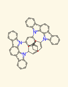 C1=CCC(n2c3ccccc3c3ccc4c5ccccc5n(-c5cccc(-n6c7ccccc7c7ccc8c9ccccc9n(C9=CCCC=C9)c8c76)c5)c4c32)C=C1